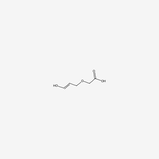 O=C(O)COCC=CO